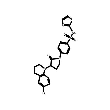 O=C1C(N2CCCc3cc(Cl)ccc32)CCN1c1ccc(S(=O)(=O)Nc2nccs2)cc1